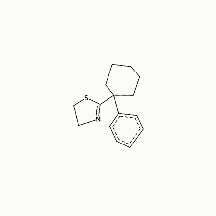 [c]1ccc(C2(C3=NCCS3)CCCCC2)cc1